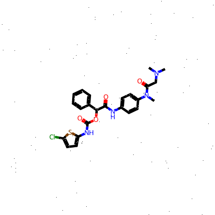 CN(C)CC(=O)N(C)c1ccc(NC(=O)C(OC(=O)Nc2ccc(Cl)s2)c2ccccc2)cc1